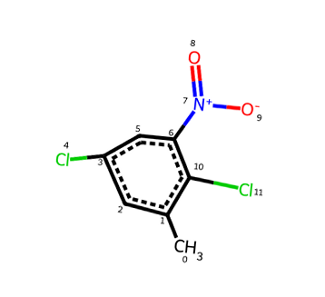 Cc1cc(Cl)cc([N+](=O)[O-])c1Cl